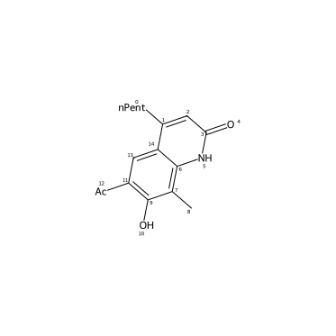 CCCCCc1cc(=O)[nH]c2c(C)c(O)c(C(C)=O)cc12